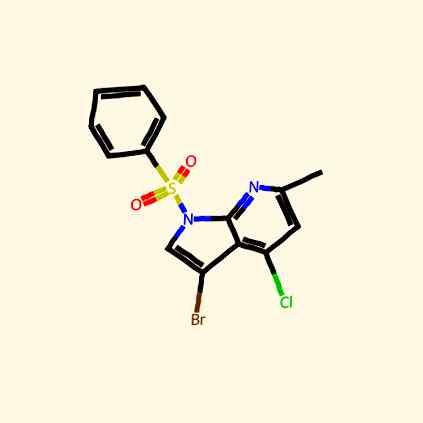 Cc1cc(Cl)c2c(Br)cn(S(=O)(=O)c3ccccc3)c2n1